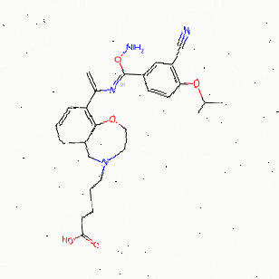 C=C(/N=C(\ON)c1ccc(OC(C)C)c(C#N)c1)C1=C2OCCN(CCCCC(=O)O)CC2CC=C1